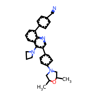 CC1CN(c2ccc(-c3cnc4c(-c5ccc(C#N)cc5)cccc4c3N3CCC3)cc2)CC(C)O1